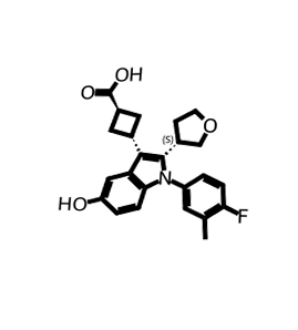 Cc1cc(-n2c([C@@H]3CCOC3)c([C@H]3C[C@H](C(=O)O)C3)c3cc(O)ccc32)ccc1F